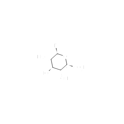 CC[C@H]1O[C@@H](C(=O)O)[C@H](O)[C@@H](O)[C@@H]1O